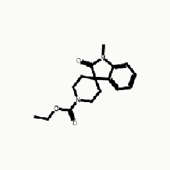 CCOC(=O)N1CCC2(CC1)C(=O)N(C)c1ccccc12